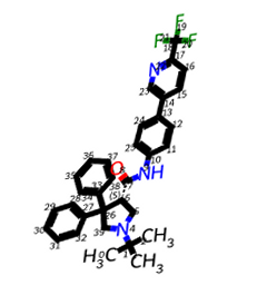 CC(C)(C)N1C[C@@H](C(=O)Nc2ccc(-c3ccc(C(F)(F)F)nc3)cc2)C(c2ccccc2)(c2ccccc2)C1